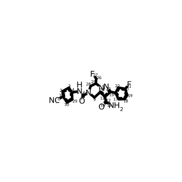 N#Cc1ccc(NC(=O)N2Cc3c(C(N)=O)c(-c4cccc(F)c4)nn3C(CF)C2)cc1